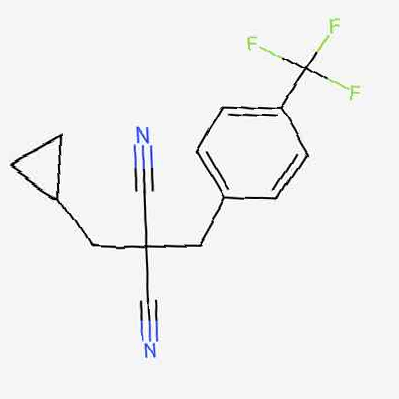 N#CC(C#N)(Cc1ccc(C(F)(F)F)cc1)CC1CC1